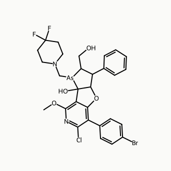 COc1nc(Cl)c(-c2ccc(Br)cc2)c2c1C1(O)C(O2)C(c2ccccc2)C(CO)[As]1CN1CCC(F)(F)CC1